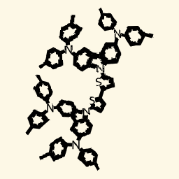 Cc1ccc(N(c2ccc(C)cc2)c2ccc3c(c2)c2cc(N(c4ccc(C)cc4)c4ccc(C)cc4)ccc2n3-c2ccc(-c3ccc(-n4c5ccc(N(c6ccc(C)cc6)c6ccc(C)cc6)cc5c5cc(N(c6ccc(C)cc6)c6ccc(C)cc6)ccc54)s3)s2)cc1